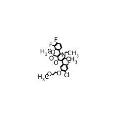 CCn1c(C)c(-c2cc(OCCOC)c(Cl)cc2F)c(=O)c(C(=O)OC)c1-c1ccc(F)c(F)c1